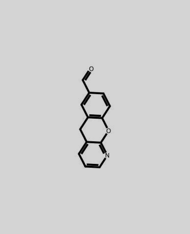 O=Cc1ccc2c(c1)Cc1cccnc1O2